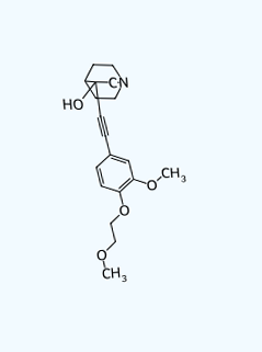 COCCOc1ccc(C#CC2(O)CN3CCC2CC3)cc1OC